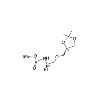 CC[C@H](COC[C@@H]1COC(C)(C)O1)NC(=O)OC(C)(C)C